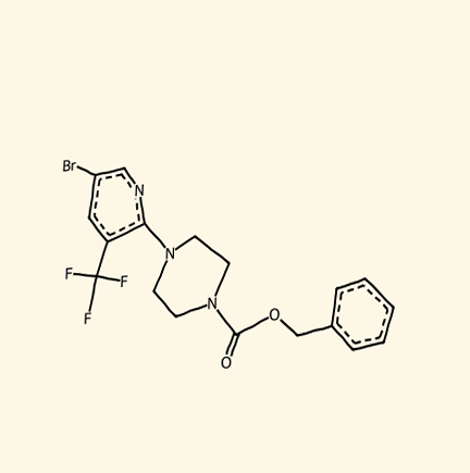 O=C(OCc1ccccc1)N1CCN(c2ncc(Br)cc2C(F)(F)F)CC1